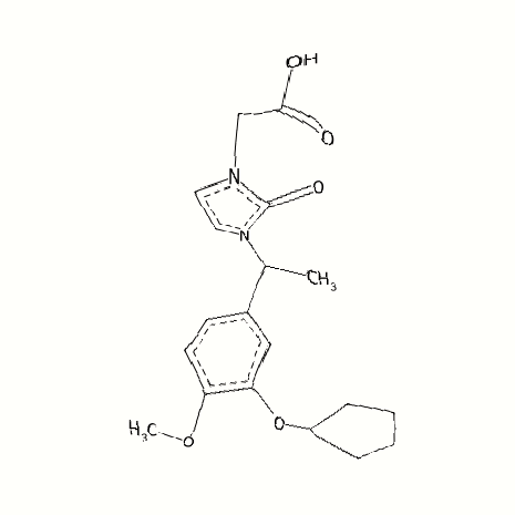 COc1ccc(C(C)n2ccn(CC(=O)O)c2=O)cc1OC1CCCC1